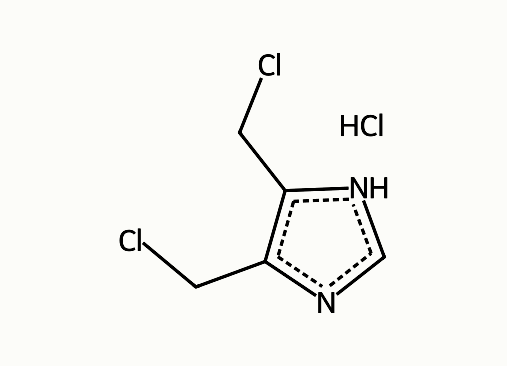 Cl.ClCc1nc[nH]c1CCl